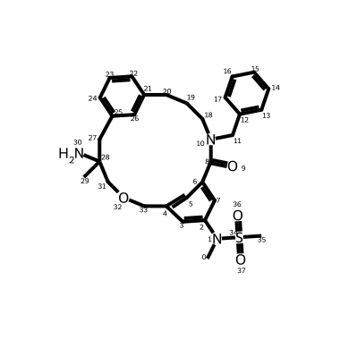 CN(c1cc2cc(c1)C(=O)N(Cc1ccccc1)CCCc1cccc(c1)CC(C)(N)COC2)S(C)(=O)=O